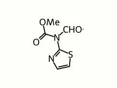 COC(=O)N([C]=O)c1nccs1